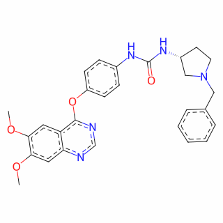 COc1cc2ncnc(Oc3ccc(NC(=O)N[C@@H]4CCN(Cc5ccccc5)C4)cc3)c2cc1OC